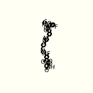 O=C1CCC(N2C(=O)c3cc(F)c(N4CCN(CC5CCN(c6ccc(-c7ccc8c(c7)C(=O)N(C(C(=O)Nc7nccs7)c7cc(F)ccc7O)C8)nn6)CC5)CC4)cc3C2=O)C(=O)N1